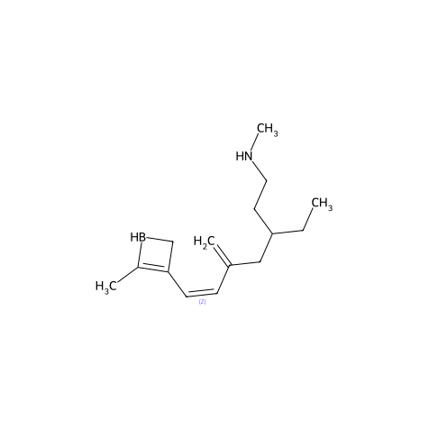 C=C(/C=C\C1=C(C)BC1)CC(CC)CCNC